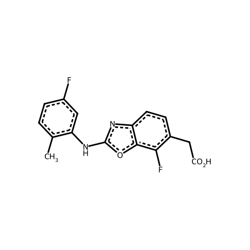 Cc1ccc(F)cc1Nc1nc2ccc(CC(=O)O)c(F)c2o1